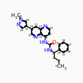 CCCC(NC(=O)Nc1ccnc2cc(-c3cnn(C)c3)cnc12)c1ccccc1